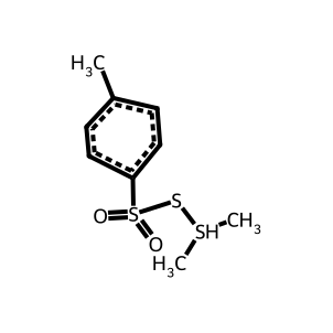 Cc1ccc(S(=O)(=O)S[SH](C)C)cc1